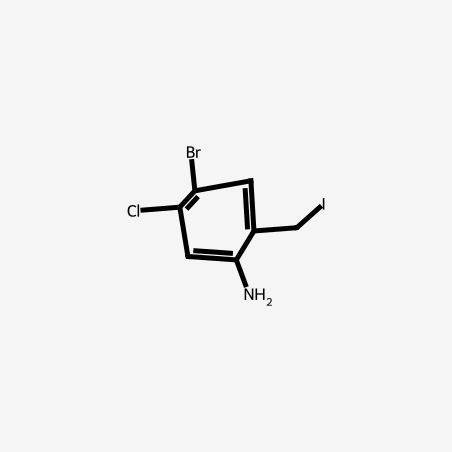 Nc1cc(Cl)c(Br)cc1CI